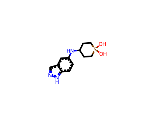 OS1(O)CCC(Nc2ccc3[nH]ncc3c2)CC1